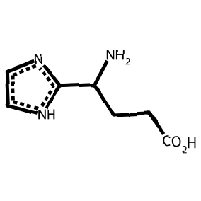 NC(CCC(=O)O)c1ncc[nH]1